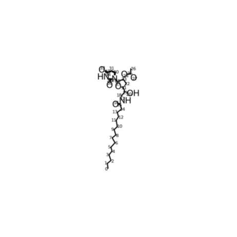 CCCCCCCCCCCCCCCC(=O)NC[C@@H](O)[C@@H]1C[C@@H](OC(C)=O)[C@H](n2ccc(=O)[nH]c2=O)O1